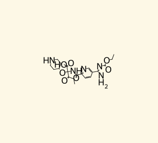 CCOC(=O)N=C(N)c1ccc(C(=O)NC(OC2CCNCC2)(C(=O)O)C(=O)CC)nc1